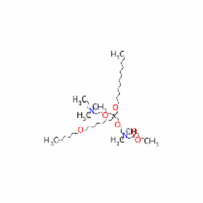 CCCCCCCCCCCCOC[C@@](CCCCCCCOCCCCCC)(COCC[N+](C)(C)CCC)COCC[N+](C)(C)CC(=O)OCC